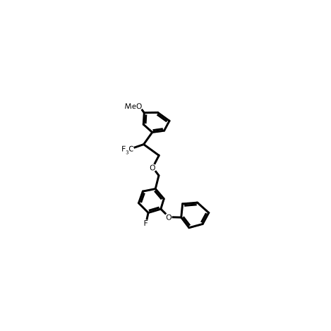 COc1cccc(C(COCc2ccc(F)c(Oc3ccccc3)c2)C(F)(F)F)c1